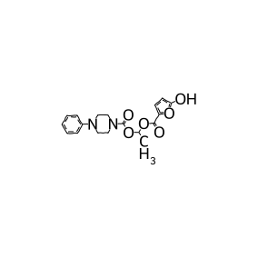 CC(OC(=O)c1ccc(O)o1)OC(=O)N1CCN(c2ccccc2)CC1